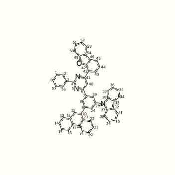 c1ccc(-c2nc(-c3cc(-c4cc5ccccc5c5ccccc45)cc(-n4c5ccccc5c5ccccc54)c3)cc(-c3cccc4c3oc3ccccc34)n2)cc1